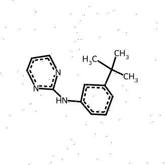 CC(C)(C)c1cccc(Nc2ncccn2)c1